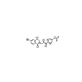 O=C(CN1CC2(CC2)c2cc(Br)ccc2C1=O)Nc1ncc([C@H]2CC2(F)F)cn1